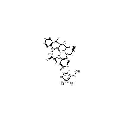 C#CCC(OC(=O)N(C)C(C(=O)N(C)c1ccccc1)C(C)C)c1ccc(O[C@H]2C[C@@H](O)[C@@H](O)[C@@H](CO)O2)c2cc(C(=O)O)oc12